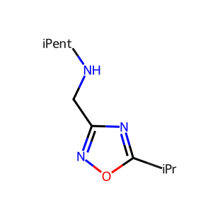 CCCC(C)NCc1noc(C(C)C)n1